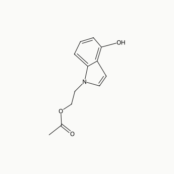 CC(=O)OCCn1ccc2c(O)cccc21